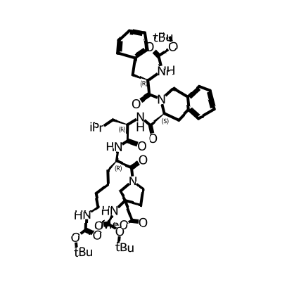 COC(=O)C1(NC(=O)OC(C)(C)C)CCN(C(=O)[C@@H](CCCCNC(=O)OC(C)(C)C)NC(=O)[C@@H](CC(C)C)NC(=O)[C@@H]2Cc3ccccc3CN2C(=O)[C@@H](Cc2ccccc2)NC(=O)OC(C)(C)C)C1